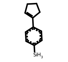 [SiH3]c1ccc(C2=CCCC2)cc1